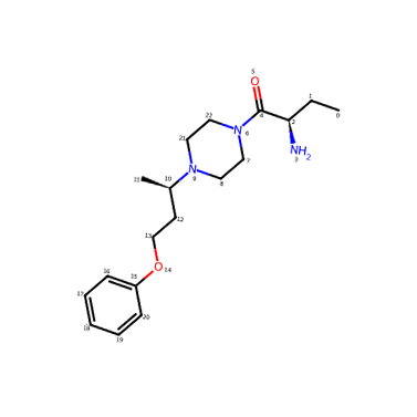 CC[C@@H](N)C(=O)N1CCN([C@H](C)CCOc2cc[c]cc2)CC1